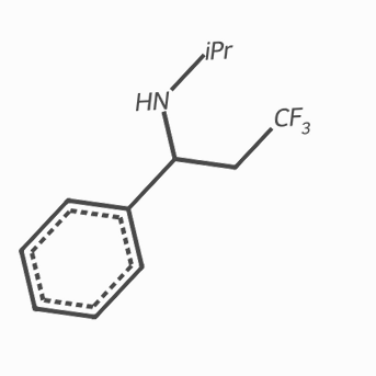 CC(C)NC(CC(F)(F)F)c1ccccc1